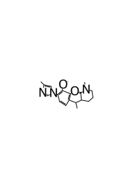 COc1cc(C(C)C2CCCN(C)C2=O)ccc1-n1cnc(C)c1